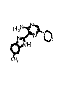 Cc1ccc2nc(-c3nc(N4CCSCC4)cnc3N)[nH]c2c1